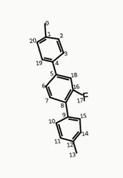 Cc1ccc(-c2ccc(-c3ccc(C)cc3)c(F)c2)cc1